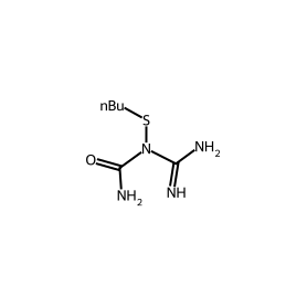 CCCCSN(C(=N)N)C(N)=O